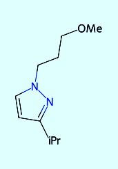 COCCCn1ccc(C(C)C)n1